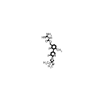 COC1(OC)CN(c2ncc(-c3c(C)ccc(COC(=O)NC(=N)N)c3F)cc2F)C1